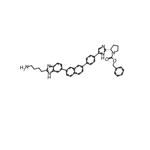 NCCCCc1nc2ccc(-c3ccc4ccc(-c5ccc(-c6cnc([C@@H]7CCCN7C(=O)OCc7ccccc7)[nH]6)cc5)cc4c3)cc2[nH]1